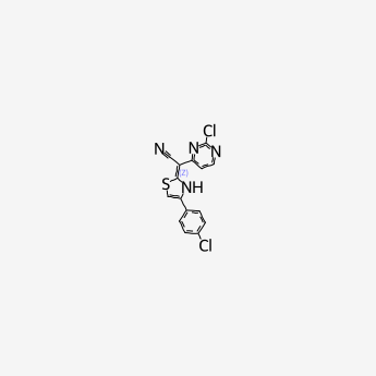 N#C/C(=C1/NC(c2ccc(Cl)cc2)=CS1)c1ccnc(Cl)n1